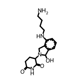 NCCCCNc1cccc2c1CN(C1CCC(=O)NC1=O)C2O